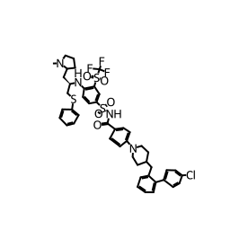 CN1CCCC1C[C@H](CSc1ccccc1)Nc1ccc(S(=O)(=O)NC(=O)c2ccc(N3CCC(Cc4ccccc4-c4ccc(Cl)cc4)CC3)cc2)cc1S(=O)(=O)C(F)(F)F